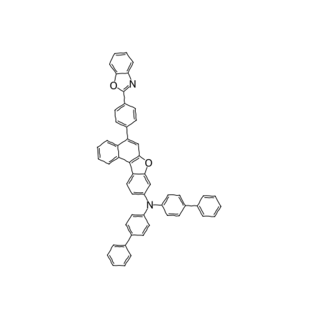 c1ccc(-c2ccc(N(c3ccc(-c4ccccc4)cc3)c3ccc4c(c3)oc3cc(-c5ccc(-c6nc7ccccc7o6)cc5)c5ccccc5c34)cc2)cc1